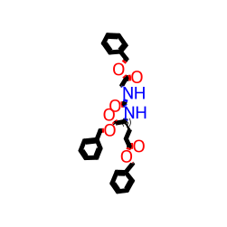 O=C(NCC(=O)OCc1ccccc1)N[C@@H](CCC(=O)OCc1ccccc1)C(=O)OCc1ccccc1